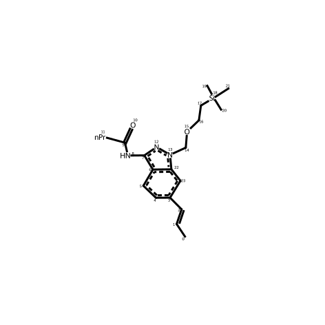 CC=Cc1ccc2c(NC(=O)CCC)nn(COCC[Si](C)(C)C)c2c1